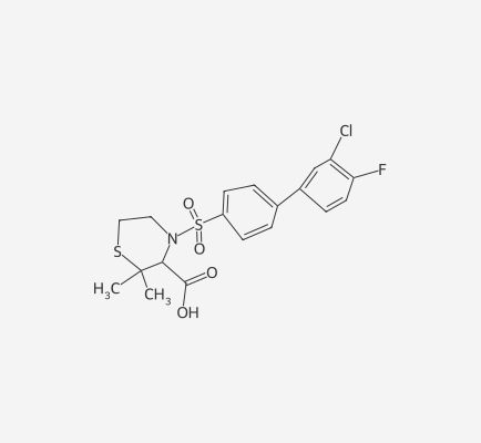 CC1(C)SCCN(S(=O)(=O)c2ccc(-c3ccc(F)c(Cl)c3)cc2)C1C(=O)O